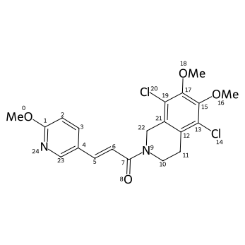 COc1ccc(/C=C/C(=O)N2CCc3c(Cl)c(OC)c(OC)c(Cl)c3C2)cn1